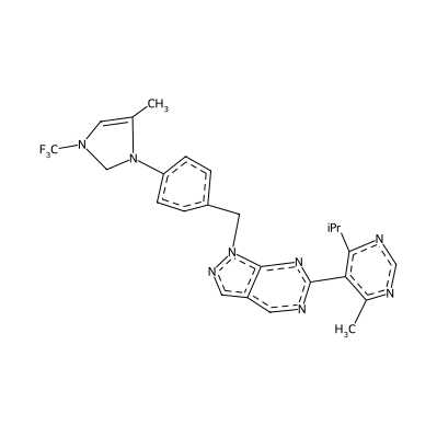 CC1=CN(C(F)(F)F)CN1c1ccc(Cn2ncc3cnc(-c4c(C)ncnc4C(C)C)nc32)cc1